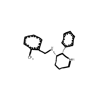 FC(F)(F)c1ccccc1CN[C@H]1CCCN[C@H]1c1ccccc1